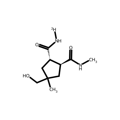 [2H]NC(=O)[C@H]1CC(C)(CO)C[C@@H]1C(=O)NC